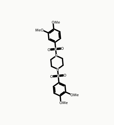 COc1ccc(S(=O)(=O)N2CCN(S(=O)(=O)c3ccc(OC)c(OC)c3)CC2)cc1OC